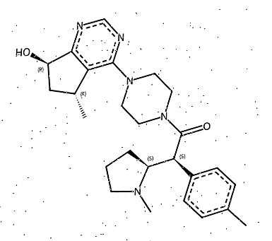 Cc1ccc([C@H](C(=O)N2CCN(c3ncnc4c3[C@H](C)C[C@H]4O)CC2)[C@@H]2CCCN2C)cc1